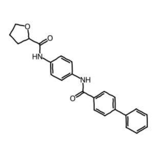 O=C(Nc1ccc(NC(=O)C2CCCO2)cc1)c1ccc(-c2ccccc2)cc1